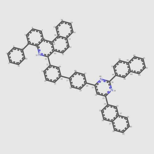 c1ccc(-c2cccc3c2nc(-c2cccc(-c4ccc(-c5cc(-c6ccc7ccccc7c6)nc(-c6ccc7ccccc7c6)n5)cc4)c2)c2ccc4ccccc4c23)cc1